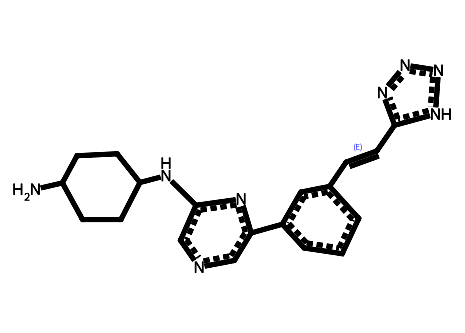 NC1CCC(Nc2cncc(-c3cccc(/C=C/c4nnn[nH]4)c3)n2)CC1